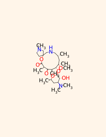 CO[C@]1(C)C[C@@H](C)CNCC2(CCN(C)C2)OC(=O)C(C)C(=O)[C@H](C)[C@H]1O[C@@H]1O[C@H](C)C[C@H](N(C)C)[C@H]1O